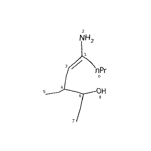 CCC/C(N)=C\C(C)C(C)O